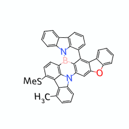 CSc1ccc2c3c1c1c(C)cccc1n3-c1cc3oc4ccccc4c3c3c1B2n1c2ccccc2c2cccc-3c21